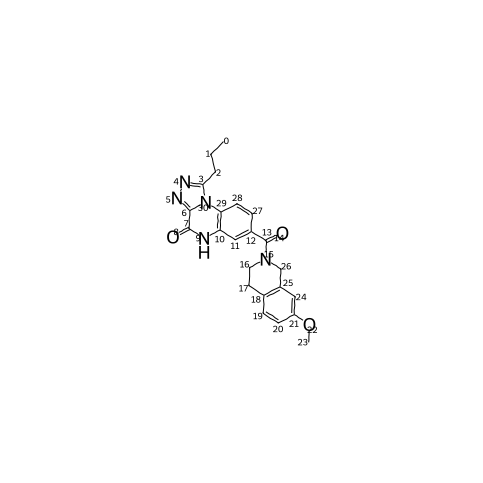 CCCc1nnc2c(=O)[nH]c3cc(C(=O)N4CCc5ccc(OC)cc5C4)ccc3n12